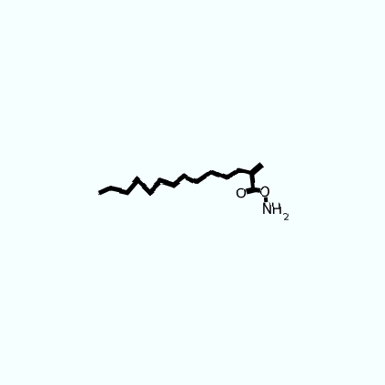 C=C(CCCCCCCCCCCC)C(=O)ON